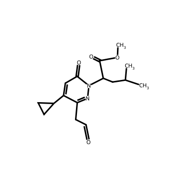 COC(=O)C(CC(C)C)n1nc(CC=O)c(C2CC2)cc1=O